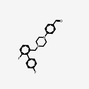 O=Cc1ccc(N2CCN(Cc3cccc(F)c3-c3ccc(F)cc3)CC2)cc1